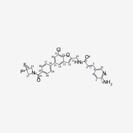 Nc1ccc(/C=C/C(=O)NCc2cc3cc(-c4ccc(C(=O)N5CC(F)(F)C5)cc4)cc(Cl)c3o2)cn1